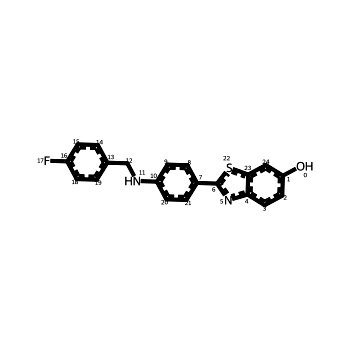 Oc1ccc2nc(-c3ccc(NCc4ccc(F)cc4)cc3)sc2c1